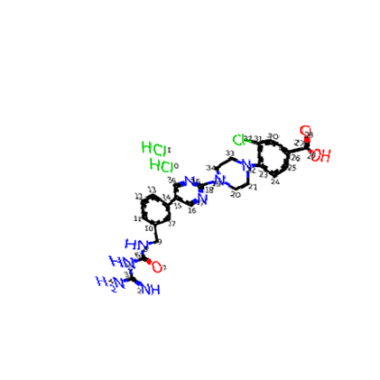 Cl.Cl.N=C(N)NC(=O)NCc1cccc(-c2cnc(N3CCN(c4ccc(C(=O)O)cc4Cl)CC3)nc2)c1